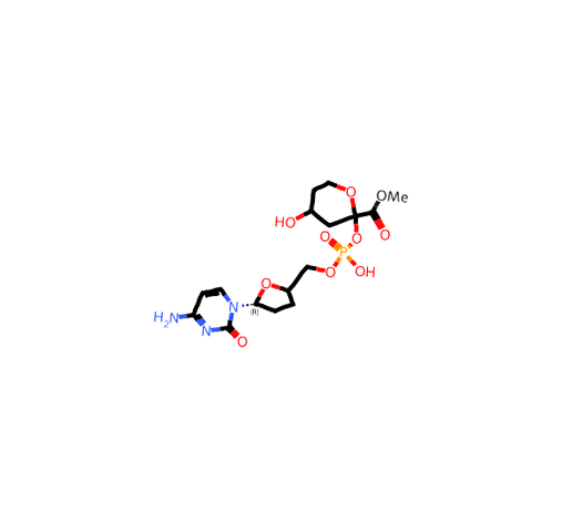 COC(=O)C1(OP(=O)(O)OCC2CC[C@H](n3ccc(N)nc3=O)O2)CC(O)CCO1